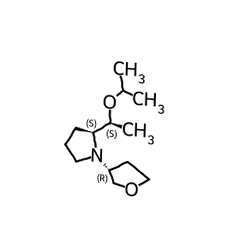 CC(C)O[C@@H](C)[C@@H]1CCCN1[C@@H]1CCOC1